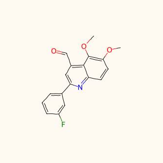 COc1ccc2nc(-c3cccc(F)c3)cc(C=O)c2c1OC